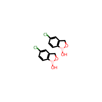 OB1OCc2cc(Cl)ccc21.OB1OCc2cc(Cl)ccc21